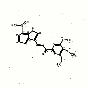 COc1cc(C(=O)C=Cc2c[nH]c3c([N+](=O)[O-])cccc23)cc(OC)c1OC